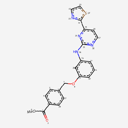 COC(=O)c1ccc(COc2cccc(Nc3nccc(-c4nccs4)n3)c2)cc1